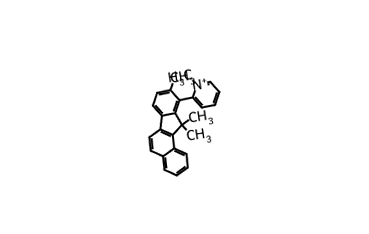 Cc1ccc2c(c1-c1cccc[n+]1C)C(C)(C)c1c-2ccc2ccccc12